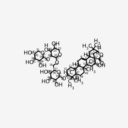 CC1(C)C[C@H]2C3=CC[C@@H]4[C@@]5(C)CC[C@H](O[C@@H]6O[C@H](CO[C@@H]7OC[C@H](O)[C@H](O)[C@H]7O[C@@H]7OC[C@@H](O)[C@H](O)[C@H]7O)[C@@H](O)[C@H](O)[C@H]6O)C(C)(C)[C@@H]5CC[C@@]4(C)[C@]3(C)C[C@@H](O)[C@@]23C[C@@H]1OC3=O